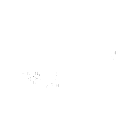 C#CC(CCn1cnc2c(N)nc(F)nc21)(COC(=O)CCCCCCCCCCCCCCCCCCC(=O)O)OC